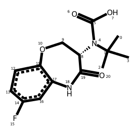 CC(C)(C)N(C(=O)O)[C@H]1COc2ccc(F)cc2NC1=O